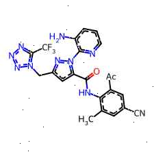 CC(=O)c1cc(C#N)cc(C)c1NC(=O)c1cc(Cn2nnnc2C(F)(F)F)nn1-c1ncccc1N